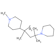 CN1CCC(C(C)(C)CC(C)(C)N2CCCCC2)CC1